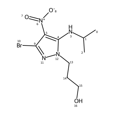 CC(C)Nc1c([N+](=O)[O-])c(Br)nn1CCCO